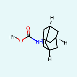 CC(C)OC(=O)NC12C[C@H]3C[C@H](C1)C[C@@H](C2)C3